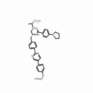 CCCCCCCOc1ccc(-c2cnc(-c3ccc(C[C@@H](CN[C@@H](C)C(=O)O)NC(=O)c4ccc(N5CCCC5)cc4)cc3)nc2)cc1